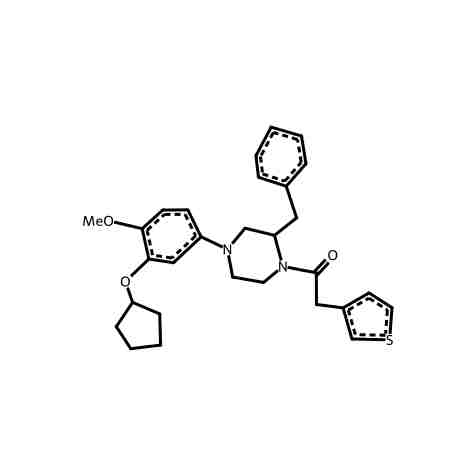 COc1ccc(N2CCN(C(=O)Cc3ccsc3)C(Cc3ccccc3)C2)cc1OC1CCCC1